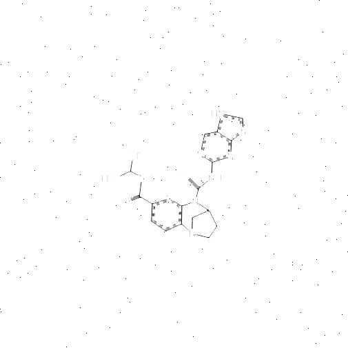 CC(NC(=O)c1ccc2c(n1)N(C(=O)Nc1ncc3[nH]cnc3n1)C1CCN2C1)C(F)(F)F